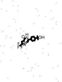 CC(C)(O)c1ccc(-c2cn3nc(C(F)(F)F)cc3c(=O)[nH]2)cc1